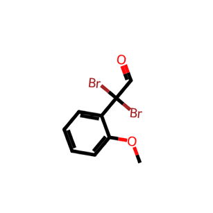 COc1ccccc1C(Br)(Br)C=O